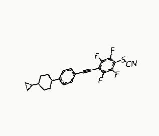 N#CSc1c(F)c(F)c(C#Cc2ccc(C3CCC(C4CC4)CC3)cc2)c(F)c1F